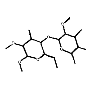 CCC1OC(OC)C(OC)C(C)C1OC1OC(C)C(C)C(C)C1OC